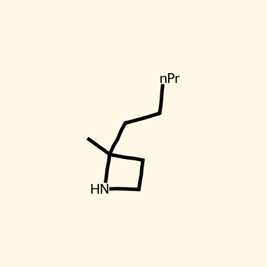 CCCCCC1(C)CCN1